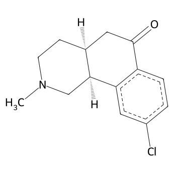 CN1CC[C@H]2CC(=O)c3ccc(Cl)cc3[C@H]2C1